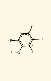 COc1c(F)cc(F)c(I)c1F